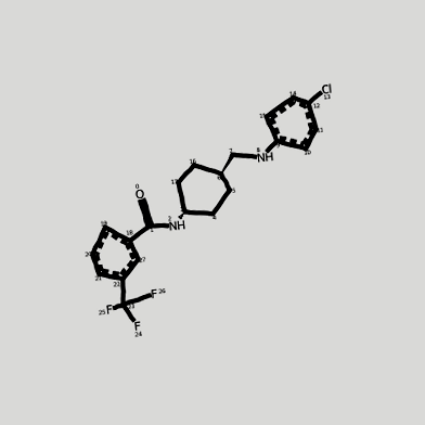 O=C(N[C@H]1CC[C@H](CNc2ccc(Cl)cc2)CC1)c1cccc(C(F)(F)F)c1